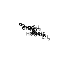 Cc1ncsc1-c1ccc(CNC(=O)C[C@@H]2C[C@@H](O)CN2C(=O)[C@@H](NC(=O)COCCOCC(=O)OCc2ccccc2)C(C)(C)C)cc1